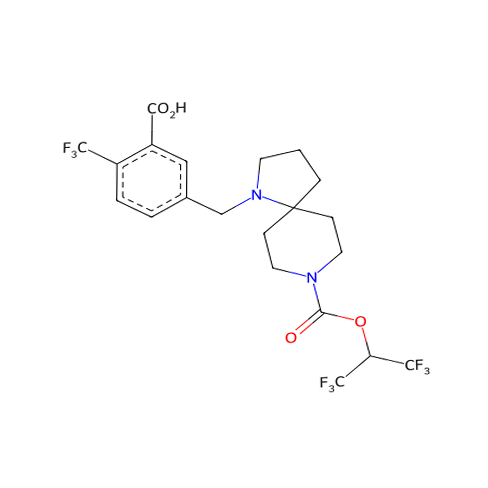 O=C(O)c1cc(CN2CCCC23CCN(C(=O)OC(C(F)(F)F)C(F)(F)F)CC3)ccc1C(F)(F)F